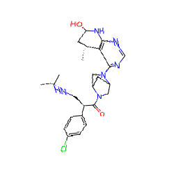 CC(C)NC[C@@H](C(=O)N1CC2CC1CN2c1ncnc2c1[C@H](C)CC(O)N2)c1ccc(Cl)cc1